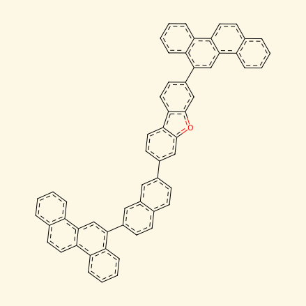 c1ccc2c(c1)ccc1c3ccccc3c(-c3ccc4ccc(-c5ccc6c(c5)oc5cc(-c7cc8c9ccccc9ccc8c8ccccc78)ccc56)cc4c3)cc21